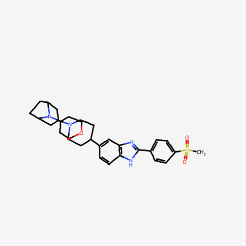 CS(=O)(=O)c1ccc(-c2nc3cc(C4CCN(C5CC6CCC(C5)N6C5CCOCC5)CC4)ccc3[nH]2)cc1